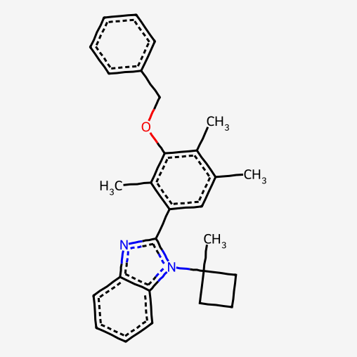 Cc1cc(-c2nc3ccccc3n2C2(C)CCC2)c(C)c(OCc2ccccc2)c1C